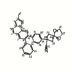 Cc1cc2ncc3cc(-c4ccccc4)c(-c4ccc(C5(C#N)CC6(C5)OCCO6)cc4)nc3n2n1